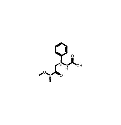 CON(C)C(=O)C[C@H](NC(=O)O)c1ccccc1